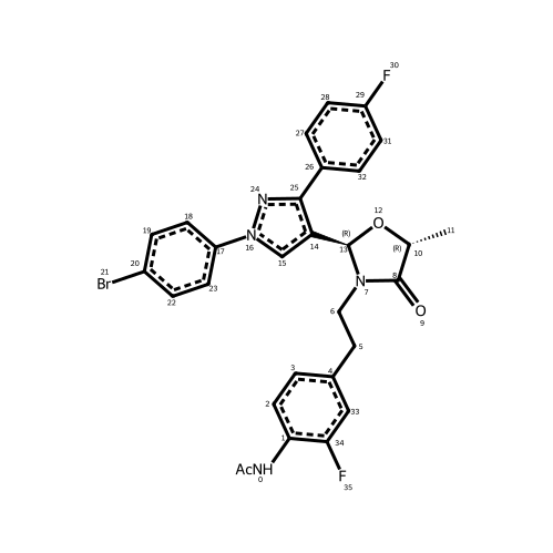 CC(=O)Nc1ccc(CCN2C(=O)[C@@H](C)O[C@@H]2c2cn(-c3ccc(Br)cc3)nc2-c2ccc(F)cc2)cc1F